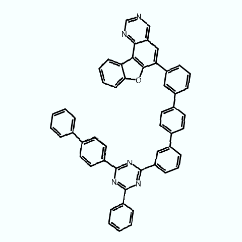 c1ccc(-c2ccc(-c3nc(-c4ccccc4)nc(-c4cccc(-c5ccc(-c6cccc(-c7cc8cncnc8c8c7oc7ccccc78)c6)cc5)c4)n3)cc2)cc1